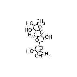 CC1O[C@H](OC2C(C)O[C@H]([C@H]3C[C@@H](O)C(O)C(C)O3)C[C@H]2O)C[C@@H](O)C1O